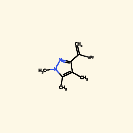 C=C(CCC)c1nn(C)c(C)c1C